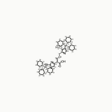 Cc1c(CON=C(C(=O)O)c2csc(NC(c3ccccc3)(c3ccccc3)c3ccccc3)n2)ncn1C(c1ccccc1)(c1ccccc1)c1ccccc1